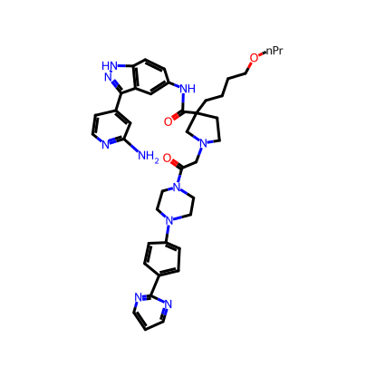 CCCOCCCCC1(C(=O)Nc2ccc3[nH]nc(-c4ccnc(N)c4)c3c2)CCN(CC(=O)N2CCN(c3ccc(-c4ncccn4)cc3)CC2)C1